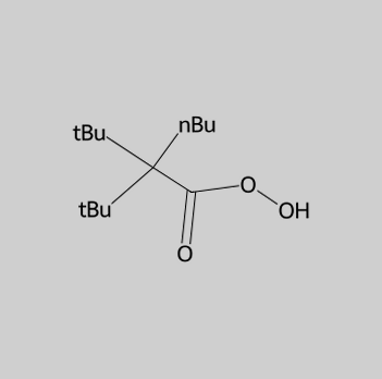 CCCCC(C(=O)OO)(C(C)(C)C)C(C)(C)C